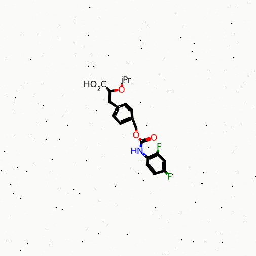 CC(C)OC(Cc1ccc(COC(=O)Nc2ccc(F)cc2F)cc1)C(=O)O